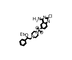 CCOC(CN1CCN(S(=O)(=O)c2ccc3nc(Cl)nc(N)c3c2)CC1)c1ccccc1